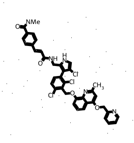 CNC(=O)c1ccc(C=CC(=O)NCc2[nH]cc(Cl)c2-c2ccc(Cl)c(COc3cccc4c(OCc5ccccn5)cc(C)nc34)c2Cl)cc1